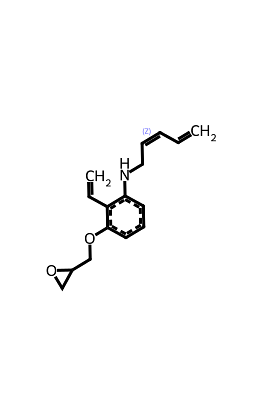 C=C/C=C\CNc1cccc(OCC2CO2)c1C=C